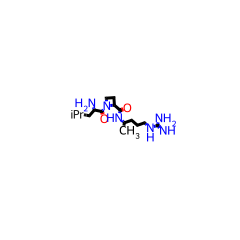 CC(C)CC(N)C(=O)N1CCC1C(=O)NC(C)CCCNC(=N)N